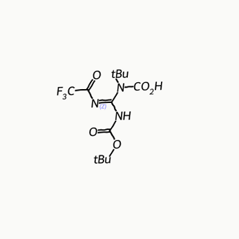 CC(C)(C)OC(=O)N/C(=N/C(=O)C(F)(F)F)N(C(=O)O)C(C)(C)C